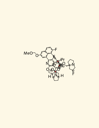 COCOc1cc(-c2nc3c4c(nc(OC[C@@]56CCCN5C[C@@H](F)C6)nc4c2F)N2C[C@H]4CC[C@@H]([C@H]2CO3)N4C(=O)OC(C)(C)C)c2c(C#C[Si](C(C)C)(C(C)C)C(C)C)c(F)ccc2c1